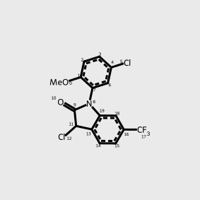 COc1ccc(Cl)cc1N1C(=O)C(Cl)c2ccc(C(F)(F)F)cc21